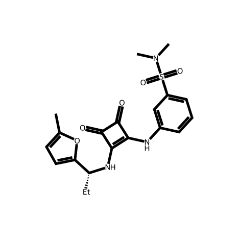 CC[C@@H](Nc1c(Nc2cccc(S(=O)(=O)N(C)C)c2)c(=O)c1=O)c1ccc(C)o1